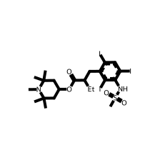 CCC(Cc1c(I)cc(I)c(NS(C)(=O)=O)c1I)C(=O)OC1CC(C)(C)N(C)C(C)(C)C1